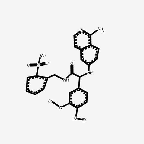 CCOc1cc(C(Nc2ccc3c(N)nccc3c2)C(=O)NCc2ccccc2S(=O)(=O)C(C)(C)C)ccc1OC(C)C